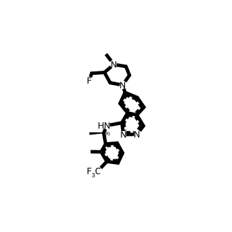 Cc1c([C@@H](C)Nc2nncc3ccc(N4CCN(C)C(CF)C4)cc23)cccc1C(F)(F)F